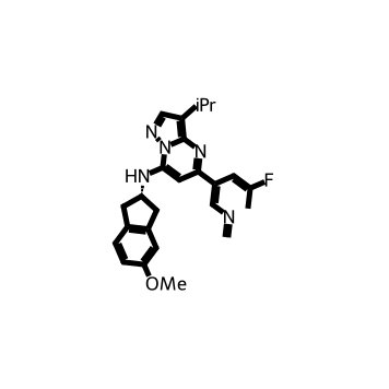 C=N/C=C(\C=C(/C)F)c1cc(N[C@H]2Cc3ccc(OC)cc3C2)n2ncc(C(C)C)c2n1